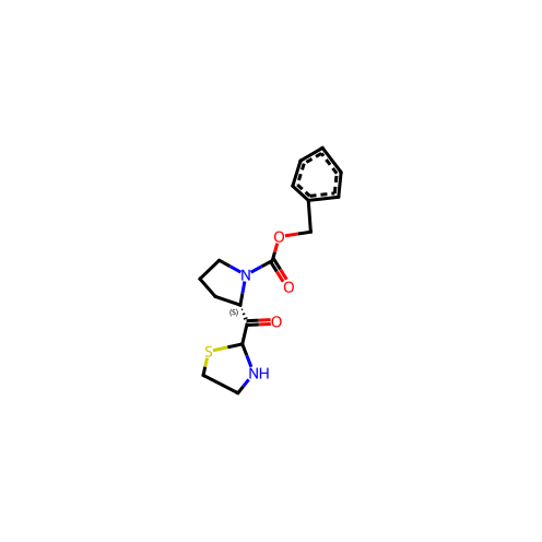 O=C(C1NCCS1)[C@@H]1CCCN1C(=O)OCc1ccccc1